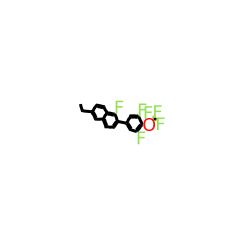 CCc1ccc2c(F)c(-c3cc(F)c(OC(F)(F)F)c(F)c3)ccc2c1